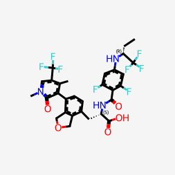 CC[C@@H](Nc1cc(F)c(C(=O)N[C@@H](Cc2ccc(-c3c(C)c(C(F)(F)F)cn(C)c3=O)c3c2COC3)C(=O)O)c(F)c1)C(F)(F)F